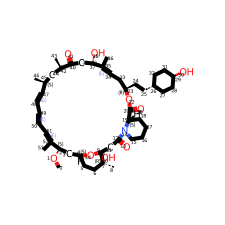 CO[C@H]1C[C@@H]2CC[C@@H](C)[C@](O)(CC(=O)N3CCCC[C@H]3C(=O)O[C@H](CC[C@H]3CC[C@H](O)CC3)C/C=C(\C)[C@@H](O)CC(=O)[C@H](C)C[C@H](C)/C=C/C=C/C=C/1C)O2